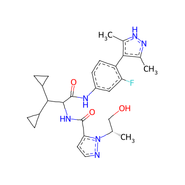 Cc1n[nH]c(C)c1-c1ccc(NC(=O)C(NC(=O)c2ccnn2[C@@H](C)CO)C(C2CC2)C2CC2)cc1F